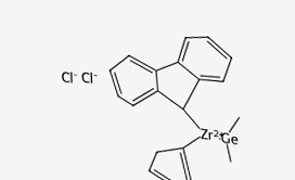 [CH3][Ge]([CH3])=[Zr+2]([C]1=CC=CC1)[CH]1c2ccccc2-c2ccccc21.[Cl-].[Cl-]